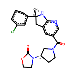 C[C@]1(c2cccc(Cl)c2)Cc2cc(C(=O)N3CC[C@H](N4CCOC4=O)C3)cnc2N1